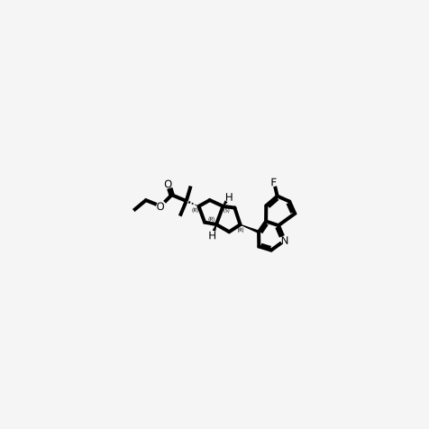 CCOC(=O)C(C)(C)[C@H]1C[C@H]2C[C@H](c3ccnc4ccc(F)cc34)C[C@H]2C1